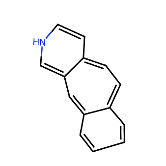 C1=CC2=CC=c3ccccc3=CC2=CN1